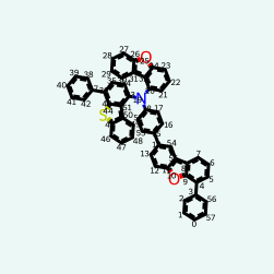 c1ccc(-c2cccc3c2oc2ccc(-c4ccc(N(c5cccc6oc7ccccc7c56)c5ccc(-c6ccccc6)c6sc7ccccc7c56)cc4)cc23)cc1